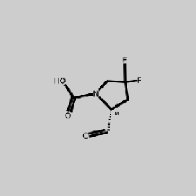 O=C[C@H]1CC(F)(F)CN1C(=O)O